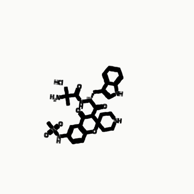 CC(C)(N)C(=O)N[C@H](Cc1c[nH]c2ccccc12)C(=O)C1C(=O)c2cc(NS(C)(=O)=O)ccc2OC12CCNCC2.Cl